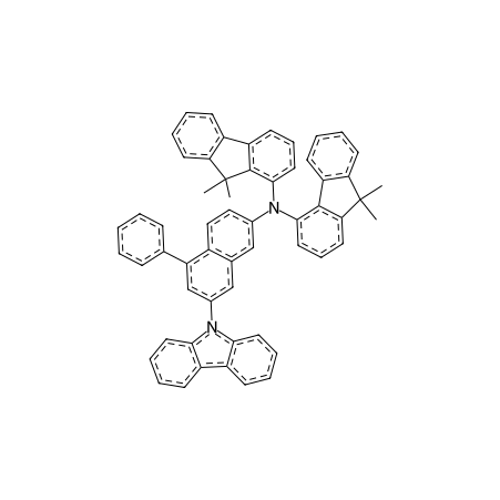 CC1(C)c2ccccc2-c2c(N(c3ccc4c(-c5ccccc5)cc(-n5c6ccccc6c6ccccc65)cc4c3)c3cccc4c3C(C)(C)c3ccccc3-4)cccc21